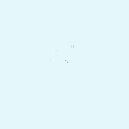 CC1(C)C(O)CN1C(c1ccccc1)c1ccccc1